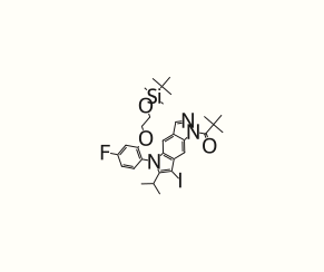 CC(C)c1c(I)c2cc3c(cnn3C(=O)C(C)(C)C)cc2n1-c1ccc(F)cc1OCCO[Si](C)(C)C(C)(C)C